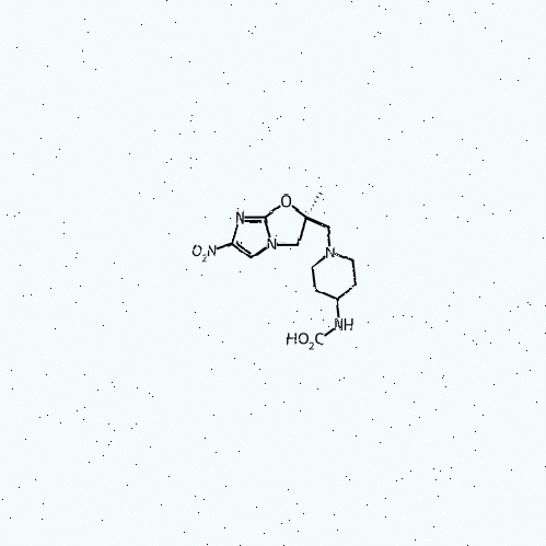 C[C@]1(CN2CCC(NC(=O)O)CC2)Cn2cc([N+](=O)[O-])nc2O1